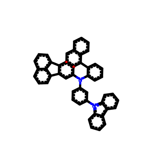 c1cc(N(c2ccc3c(c2)-c2cccc4cccc-3c24)c2ccccc2-c2cccc3ccccc23)cc(-n2c3ccccc3c3ccccc32)c1